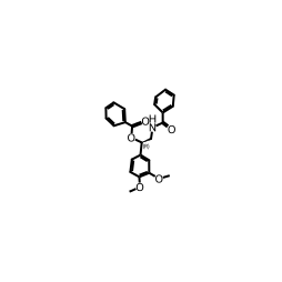 COc1ccc([C@H](CNC(=O)c2ccccc2)OC(=O)c2ccccc2)cc1OC